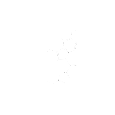 COc1ccc2c(c1F)c(CC(=O)O)c(C)n2C(=O)c1ccc(SC(F)(F)F)s1